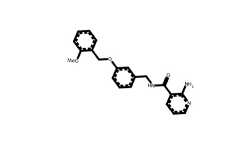 COc1ccccc1COc1cccc(CNC(=O)c2cccnc2N)c1